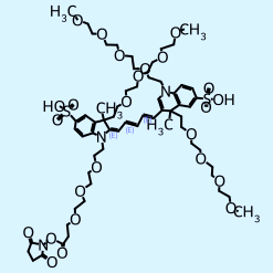 COCCOCCOCCOCCN1C=C(/C=C/C=C/C=C2/N(CCOCCOCCOCCC(=O)ON3C(=O)CCC3=O)c3ccc(S(=O)(=O)O)cc3C2(C)CCOCCOCCOCCOC)C(C)(CCOCCOCCOCCOC)c2cc(S(=O)(=O)O)ccc21